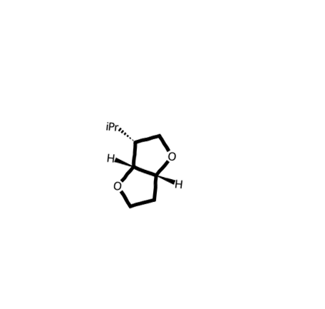 CC(C)[C@@H]1CO[C@@H]2CCO[C@@H]21